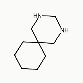 C1CCC2(CC1)CNCNC2